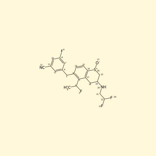 CC(F)c1c(Cc2cc(F)cc(C#N)c2)ccc2c1CC(NCC(F)F)C[S+]2[O-]